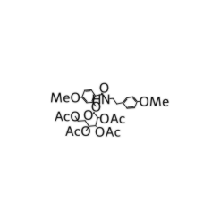 COc1ccc(CCNC(=O)c2ccc(OC)cc2O[C@@H]2OC(COC(C)=O)C(OC(C)=O)C(OC(C)=O)C2OC(C)=O)cc1